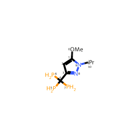 COc1cc(C(P)(P)P)nn1C(C)C